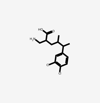 CC(CC(CN)C(=O)O)C(C)c1ccc(Cl)c(Cl)c1